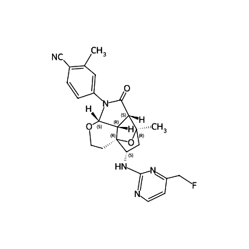 Cc1cc(N2C(=O)[C@H]3[C@H]4[C@@H]2OCC[C@@]42O[C@]3(C)C[C@@H]2Nc2nccc(CF)n2)ccc1C#N